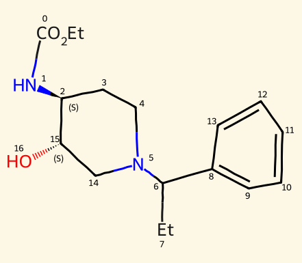 CCOC(=O)N[C@H]1CCN(C(CC)c2ccccc2)C[C@@H]1O